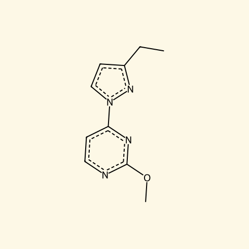 CCc1ccn(-c2ccnc(OC)n2)n1